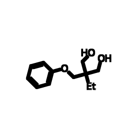 CCC(CO)(CO)COc1ccccc1